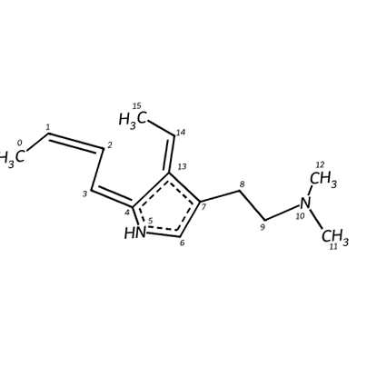 C\C=C/C=c1/[nH]cc(CCN(C)C)/c1=C/C